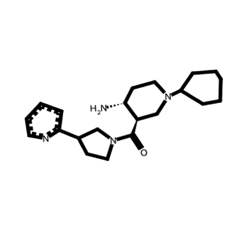 N[C@@H]1CCN(C2CCCCC2)C[C@H]1C(=O)N1CCC(c2ccccn2)C1